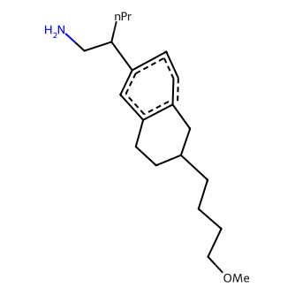 CCCC(CN)c1ccc2c(c1)CCC(CCCCOC)C2